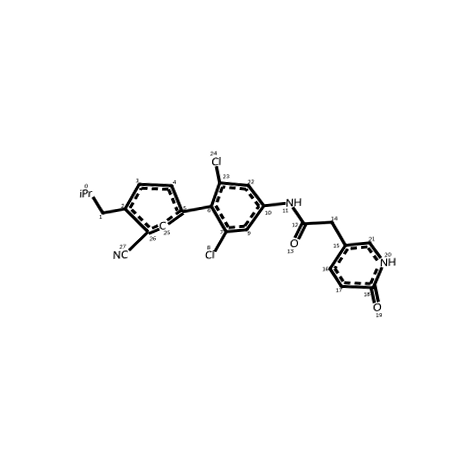 CC(C)Cc1ccc(-c2c(Cl)cc(NC(=O)Cc3ccc(=O)[nH]c3)cc2Cl)cc1C#N